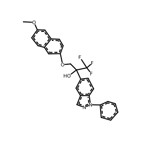 COc1ccc2cc(OCC(O)(c3ccc4c(cnn4-c4ccccc4)c3)C(F)(F)F)ccc2c1